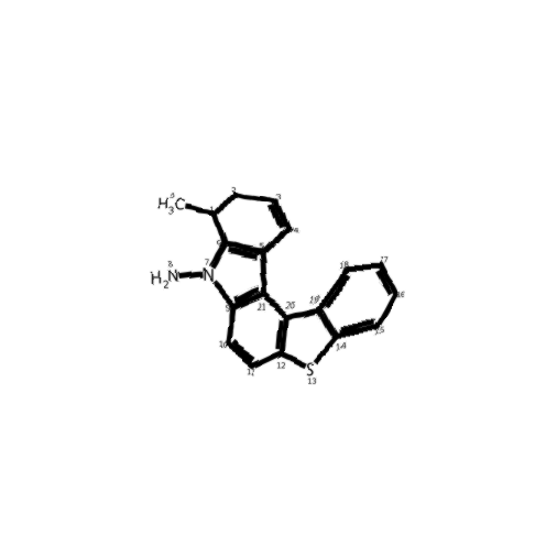 CC1CC=Cc2c1n(N)c1ccc3sc4ccccc4c3c21